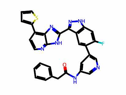 O=C(Cc1ccccc1)Nc1cncc(-c2cc3c(-c4nc5c(-c6cccs6)ccnc5[nH]4)n[nH]c3cc2F)c1